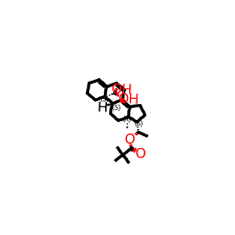 CC(OC(=O)C(C)(C)C)[C@H]1CCC2=C3C=CC4=CCCC[C@]4(C(O)O)[C@H]3CC[C@@]21C